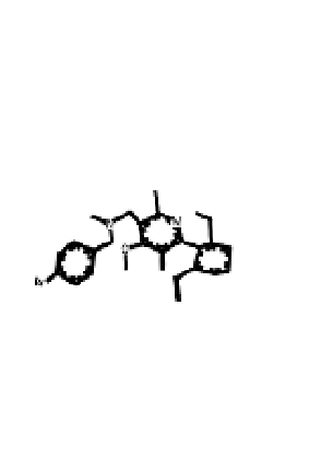 CCc1cccc(CC)c1-c1nc(C)c(CN(C)Cc2ccc(Br)cc2)c(OC)c1C